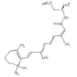 CC1=C(/C=C/C(C)=C/C=C/C(C)=C\C(=O)N[C@@H](CS(=O)(=O)O)C(=O)O)C(C)(C)CCC1